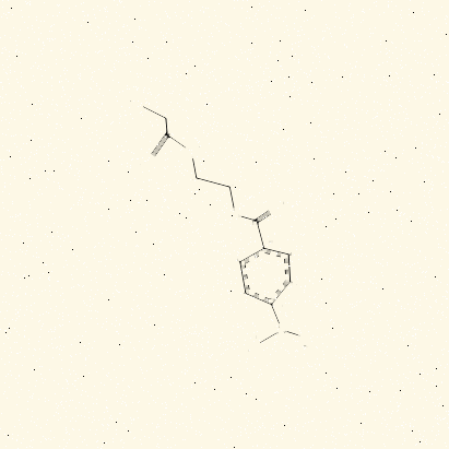 CC(=O)CC(=O)OCCOC(=O)c1ccc(N(C)C)cc1